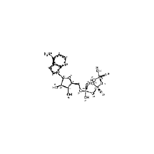 Nc1ccnc2c1ccn2C1OC(COP(=O)(O)OP(=O)(O)OP(=O)(O)O)C(O)C1O